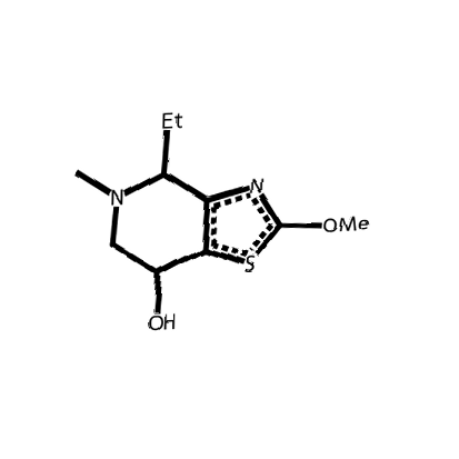 CCC1c2nc(OC)sc2C(O)CN1C